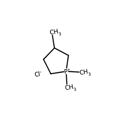 CC1CC[P+](C)(C)C1.[Cl-]